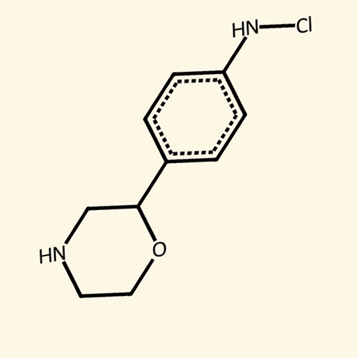 ClNc1ccc(C2CNCCO2)cc1